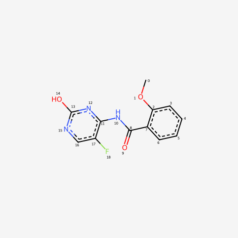 COc1ccccc1C(=O)Nc1nc(O)ncc1F